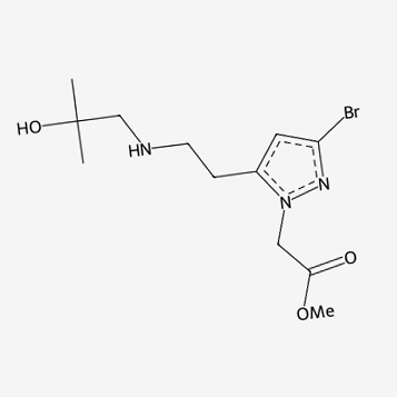 COC(=O)Cn1nc(Br)cc1CCNCC(C)(C)O